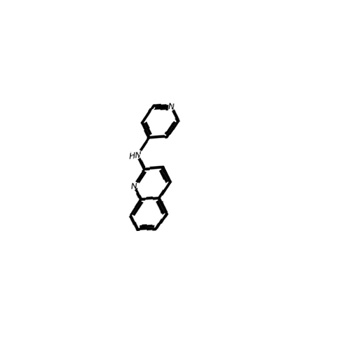 c1ccc2nc(Nc3ccncc3)ccc2c1